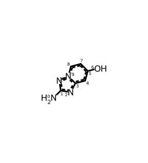 Nc1nc2cc(O)ccn2n1